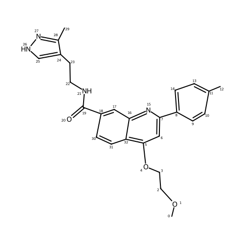 COCCOc1cc(-c2ccc(C)cc2)nc2cc(C(=O)NCCc3c[nH]nc3C)ccc12